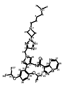 CN(C)CCCCN1CC(n2nnc(Cn3cc(NC(=O)c4cnn5cccnc45)c(-c4cc(OC(F)F)ccc4OC(F)F)n3)n2)C1